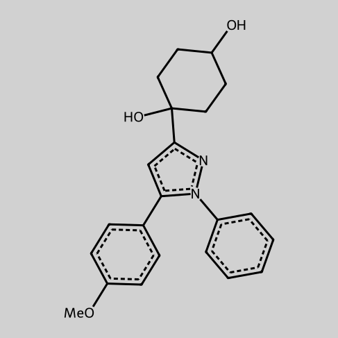 COc1ccc(-c2cc(C3(O)CCC(O)CC3)nn2-c2ccccc2)cc1